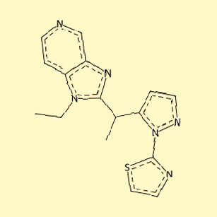 CCn1c(C(C)c2ccnn2-c2nccs2)nc2cnccc21